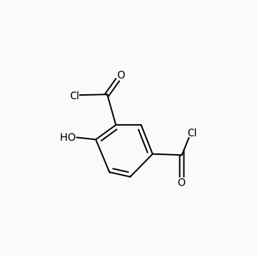 O=C(Cl)c1ccc(O)c(C(=O)Cl)c1